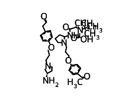 CC(=O)c1ccc(OCCCN2CCCC2NC(=O)[C@H](C)N(C(=O)O)C(C)(C)C)cc1.N[C@@H]1CCN(CCCOc2ccc(CC=O)cc2)C1